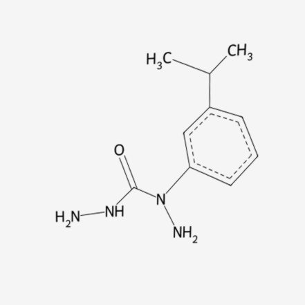 CC(C)c1cccc(N(N)C(=O)NN)c1